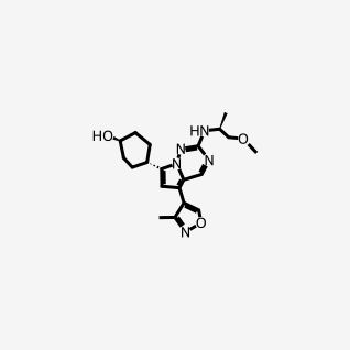 COC[C@H](C)Nc1ncc2c(-c3conc3C)cc([C@H]3CC[C@H](O)CC3)n2n1